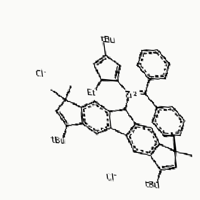 CCC1C=C(C(C)(C)C)C=[C]1[Zr+2](=[C](c1ccccc1)c1ccccc1)[CH]1c2cc3c(cc2-c2cc4c(cc21)C(C)(C)C=C4C(C)(C)C)C(C(C)(C)C)=CC3(C)C.[Cl-].[Cl-]